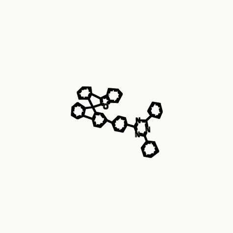 c1ccc(-c2nc(-c3ccccc3)nc(-c3ccc(-c4ccc5c(c4)C4(c6ccccc6-5)c5ccccc5-c5c4oc4ccccc54)cc3)n2)cc1